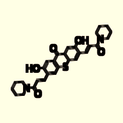 O=C1c2cc(O)c(/C=C/C(=O)N3CCCCC3)cc2SC2C=C(/C=C/C(=O)N3CCCCC3)C(O)=CC12